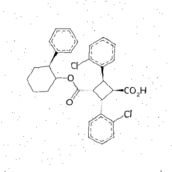 O=C(O)[C@H]1[C@H](c2ccccc2Cl)[C@H](C(=O)OC2CCCC[C@H]2c2ccccc2)[C@H]1c1ccccc1Cl